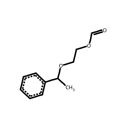 CC(OCCO[C]=O)c1ccccc1